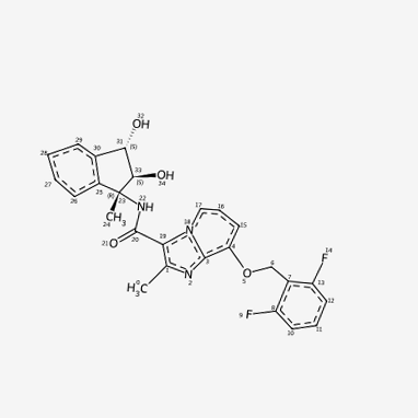 Cc1nc2c(OCc3c(F)cccc3F)cccn2c1C(=O)N[C@]1(C)c2ccccc2[C@H](O)[C@H]1O